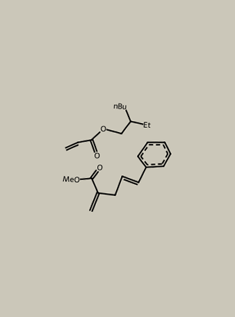 C=C(CC=Cc1ccccc1)C(=O)OC.C=CC(=O)OCC(CC)CCCC